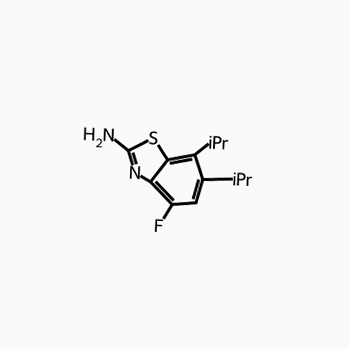 CC(C)c1cc(F)c2nc(N)sc2c1C(C)C